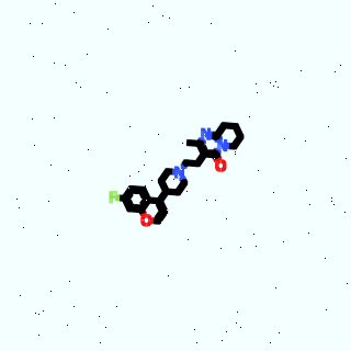 Cc1nc2n(c(=O)c1CCN1CCC(C3=C=COc4cc(F)ccc43)CC1)CCCC2